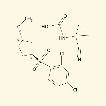 CO[C@H]1CC[C@H](S(=O)(=O)c2ccc(Cl)cc2Cl)C1.N#CC1(NC(=O)O)CC1